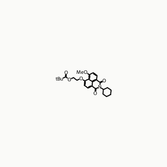 COc1ccc2c3c(ccc(OCCOC(=O)C(C)(C)C)c13)C(=O)N(C1CCCCC1)C2=O